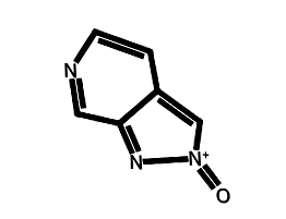 O=[N+]1C=c2ccncc2=N1